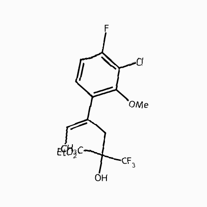 CC=C(CC(O)(C(=O)OCC)C(F)(F)F)c1ccc(F)c(Cl)c1OC